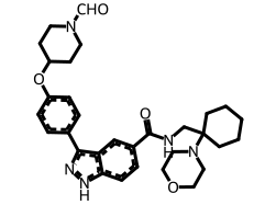 O=CN1CCC(Oc2ccc(-c3n[nH]c4ccc(C(=O)NCC5(N6CCOCC6)CCCCC5)cc34)cc2)CC1